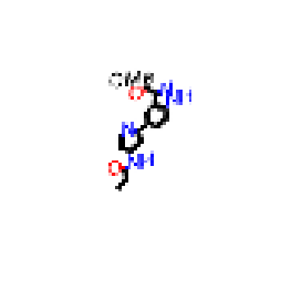 C=CC(=O)Nc1ccnc(-c2ccc3[nH]nc(C(=O)OC)c3c2)c1